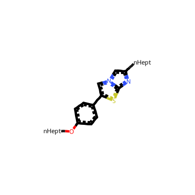 CCCCCCCOc1ccc(-c2cn3cc(CCCCCCC)nc3s2)cc1